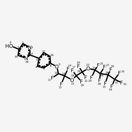 Oc1cnc(-c2ccc(OC(F)C(F)(F)OC(F)(F)C(F)(F)OC(F)(F)C(F)(F)C(F)(F)C(F)(F)F)cc2)nc1